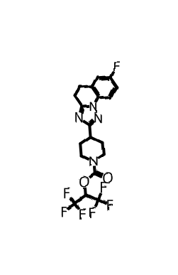 O=C(OC(C(F)(F)F)C(F)(F)F)N1CCC(c2nc3n(n2)-c2ccc(F)cc2CC3)CC1